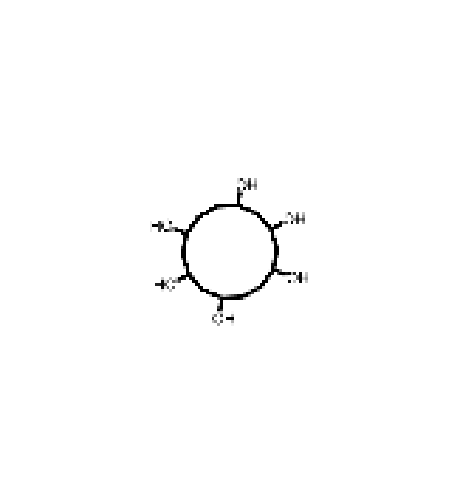 OC1CCC(O)CC(O)CC(O)CCC(O)CC(O)C1